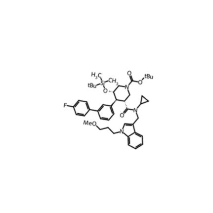 COCCCn1cc(CN(C(=O)[C@H]2CN(C(=O)OC(C)(C)C)C[C@@H](O[Si](C)(C)C(C)(C)C)[C@@H]2c2cccc(-c3ccc(F)cc3)c2)C2CC2)c2ccccc21